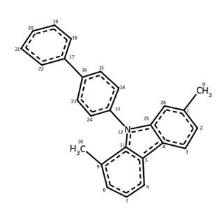 Cc1ccc2c3cccc(C)c3n(-c3ccc(-c4ccccc4)cc3)c2c1